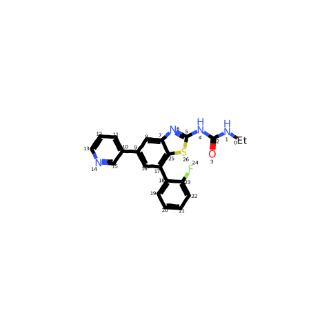 CCNC(=O)Nc1nc2cc(-c3cccnc3)cc(-c3ccccc3F)c2s1